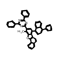 Cc1c(-c2nc(-c3ccccc3)nc(-c3ccccc3)n2)cc(-c2ccc(-c3ccccc3)c3ccccc23)c2c1oc1c3ccccc3ccc12